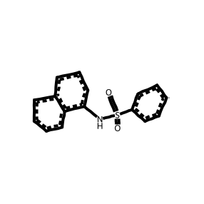 O=S(=O)(Nc1cccc2ccccc12)c1cc[c]cc1